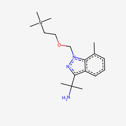 Cc1cccc2c(C(C)(C)N)nn(COCC[Si](C)(C)C)c12